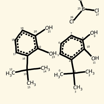 CC(C)(C)c1cccc(O)c1O.CC(C)(C)c1cccc(O)c1O.ClB(Cl)Cl